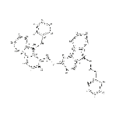 c1ccc(CCCn2c3ccccc3c3cc(CNc4nccc5c6ccccc6n(Cc6ccccc6)c45)ncc32)cc1